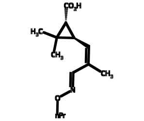 CCCON=CC(C)=C[C@@H]1[C@@H](C(=O)O)C1(C)C